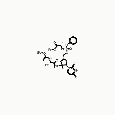 CC(C)OC(=O)[C@H](C)N[P@](=O)(OC[C@H]1O[C@@H](n2ccc(=O)[nH]c2=O)[C@](Cl)(Br)[C@@H]1OC(=O)[C@@H](NC(=O)OC(C)(C)C)C(C)C)Oc1ccccc1